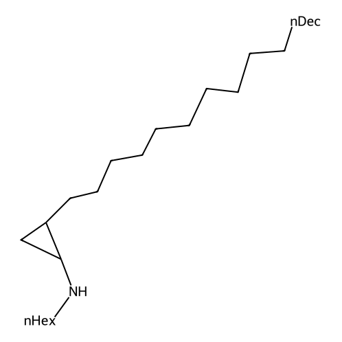 CCCCCCCCCCCCCCCCCCCCC1CC1NCCCCCC